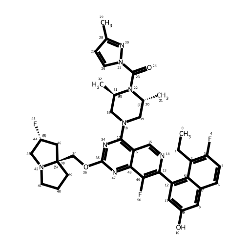 CCc1c(F)ccc2cc(O)cc(-c3ncc4c(N5C[C@@H](C)N(C(=O)n6ccc(C)n6)[C@H](C)C5)nc(OC[C@@]56CCCN5C[C@H](F)C6)nc4c3F)c12